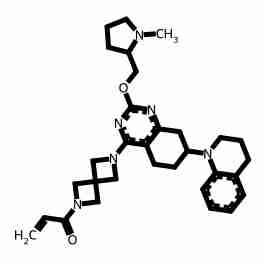 C=CC(=O)N1CC2(C1)CN(c1nc(OCC3CCCN3C)nc3c1CCC(N1CCCc4ccccc41)C3)C2